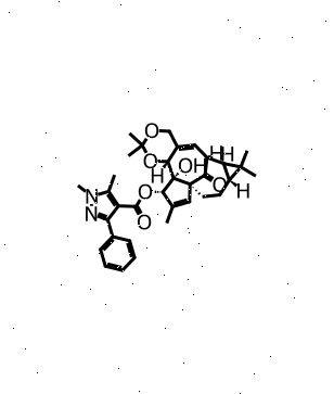 CC1=C[C@@]23CC[C@@H]4[C@H]([C@H](C=C5COC(C)(C)O[C@H]5[C@]2(O)[C@H]1OC(=O)c1c(-c2ccccc2)nn(C)c1C)C3=O)C4(C)C